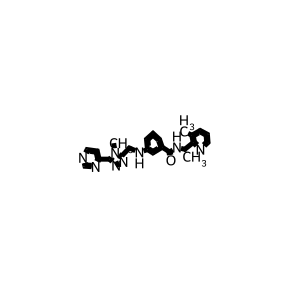 Cc1cccnc1[C@@H](C)NC(=O)c1cccc(NCc2nnc(-c3ccncn3)n2C)c1